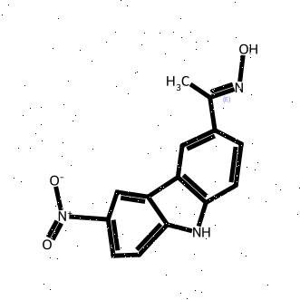 C/C(=N\O)c1ccc2[nH]c3ccc([N+](=O)[O-])cc3c2c1